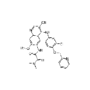 CCOC1=CC2N=CC(C#N)=C(Nc3ccc(OCc4ccccn4)c(Cl)c3)C2C=C1NC(=O)C(=O)N(C)C